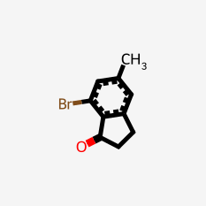 Cc1cc(Br)c2c(c1)CCC2=O